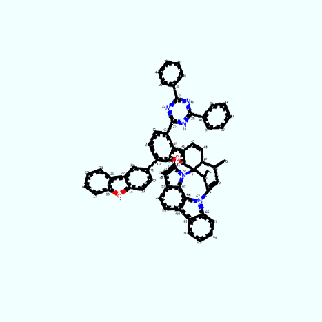 CC1C=C2C(C)C3(c4oc5c(-c6ccc7oc8ccccc8c7c6)ccc(-c6nc(-c7ccccc7)nc(-c7ccccc7)n6)c5c4C=CC13)n1c3ccccc3c3ccc4c5ccccc5n2c4c31